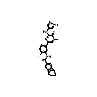 Cn1cc(-c2ccc(F)c(NC(=O)c3cc4c(s3)C3CCC4C3)n2)nc(Nc2cn[nH]c2)c1=O